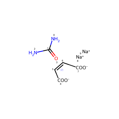 NC(N)=O.O=C([O-])/C=C\C(=O)[O-].[Na+].[Na+]